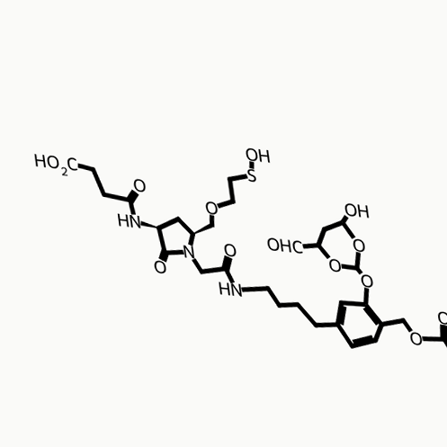 NC(=O)OCc1ccc(CCCCNC(=O)CN2C(=O)[C@@H](NC(=O)CCC(=O)O)C[C@H]2COCCSO)cc1OC1OC(O)CC(C=O)O1